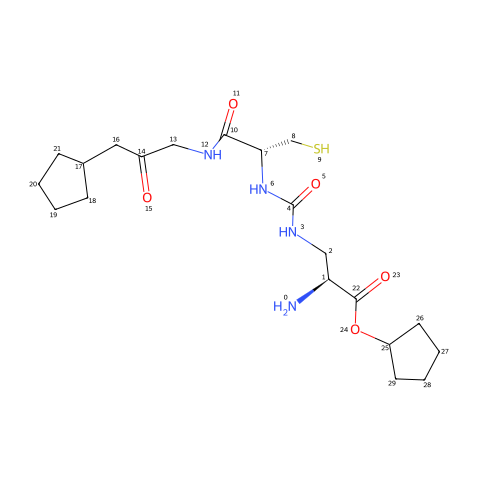 N[C@@H](CNC(=O)N[C@@H](CS)C(=O)NCC(=O)CC1CCCC1)C(=O)OC1CCCC1